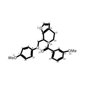 COc1ccc(OCC2c3occc3CCN2C(=O)c2cccc(OC)c2)cc1